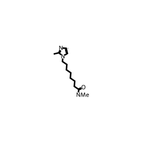 CNC(=O)CCCCCCCn1c[c]nc1C